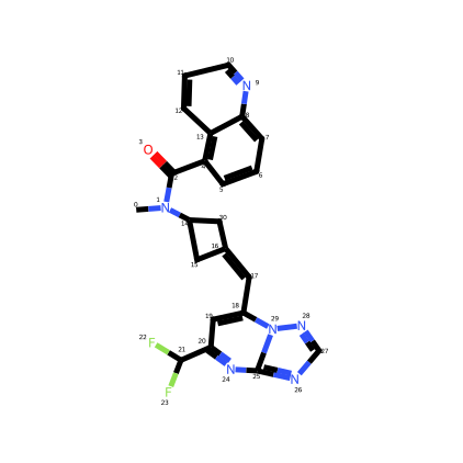 CN(C(=O)c1cccc2ncccc12)C1CC(=Cc2cc(C(F)F)nc3ncnn23)C1